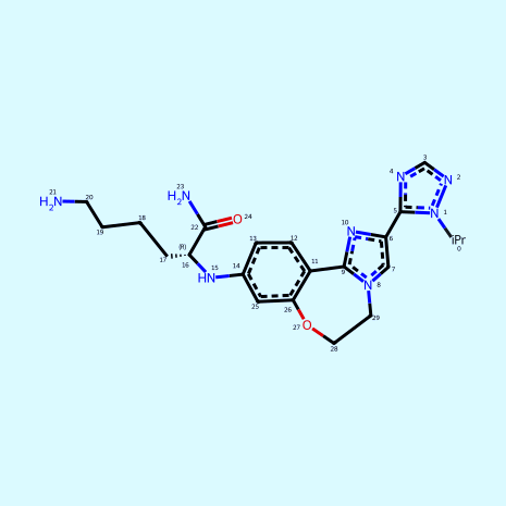 CC(C)n1ncnc1-c1cn2c(n1)-c1ccc(N[C@H](CCCCN)C(N)=O)cc1OCC2